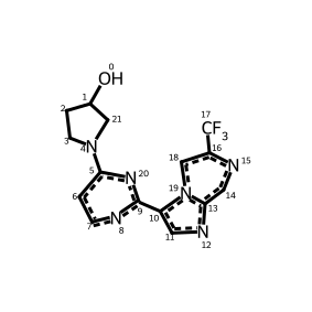 OC1CCN(c2ccnc(-c3cnc4cnc(C(F)(F)F)cn34)n2)C1